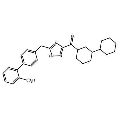 O=C(O)c1ccccc1-c1ccc(Cc2nc(C(=O)C3CCCC(C4CCCCC4)C3)n[nH]2)cc1